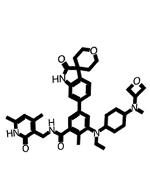 CCN(c1cc(-c2ccc3c(c2)NC(=O)C32CCOCC2)cc(C(=O)NCc2c(C)cc(C)[nH]c2=O)c1C)C1CCC(N(C)C2COC2)CC1